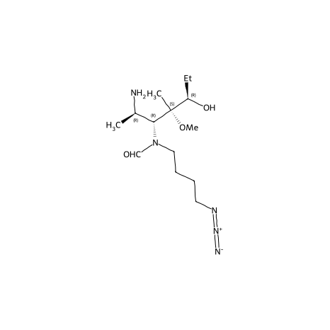 CC[C@@H](O)[C@@](C)(OC)[C@@H]([C@@H](C)N)N(C=O)CCCCN=[N+]=[N-]